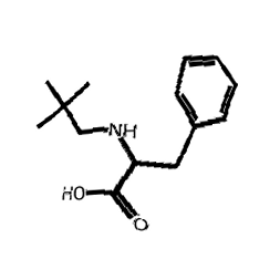 CC(C)(C)CNC(Cc1ccccc1)C(=O)O